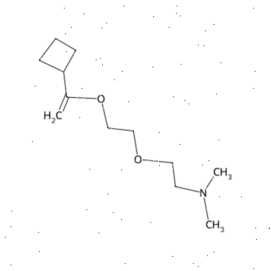 C=C(OCCOCCN(C)C)C1CCC1